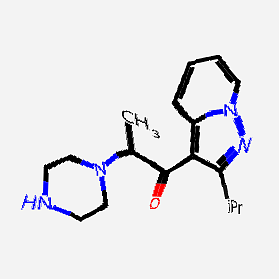 CC(C)c1nn2ccccc2c1C(=O)C(C)N1CCNCC1